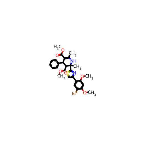 COC(=O)C1=C(C)NC(C)(c2nc(-c3cc(Br)c(OC)cc3OC)cs2)C(C(=O)OC)C1c1ccccc1